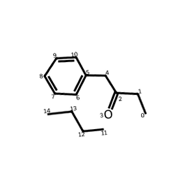 CCC(=O)Cc1ccccc1.CCCC